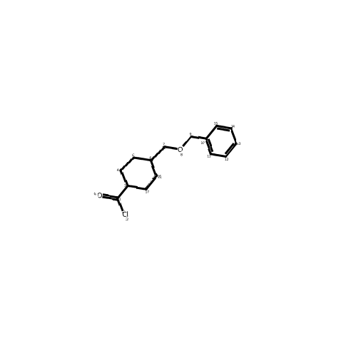 O=C(Cl)C1CCC(COCc2ccccc2)CC1